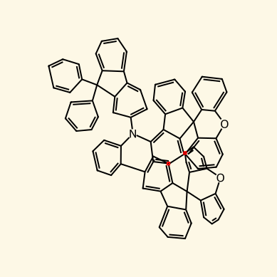 c1ccc(C2(c3ccccc3)c3ccccc3-c3ccc(N(c4ccccc4-c4ccc5c(c4)-c4ccccc4C54c5ccccc5Oc5ccccc54)c4cccc5c4-c4ccccc4C54c5ccccc5Oc5ccccc54)cc32)cc1